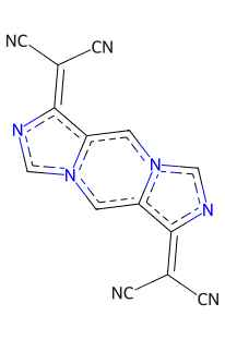 N#CC(C#N)=c1ncn2cc3c(=C(C#N)C#N)ncn3cc12